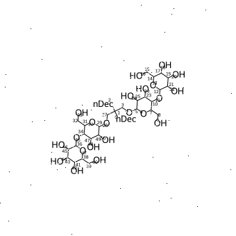 CCCCCCCCCCC(CCCCCCCCCC)(COC1OC(CO)C(OC2OC(CO)C(O)C(O)C2O)C(O)C1O)COC1OC(CO)C(OC2OC(CO)C(O)C(O)C2O)C(O)C1O